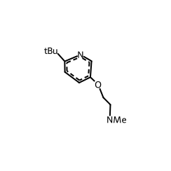 CNCCOc1ccc(C(C)(C)C)nc1